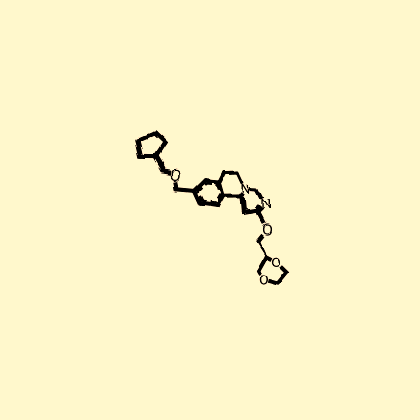 C1=C2c3ccc(COCC4CCCC4)cc3CCN2CN=C1OC[C@@H]1COCCO1